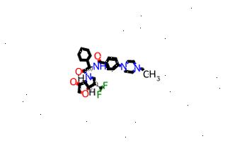 CCN1CCN(c2ccc(C(=O)N[C@H](C(=O)N3C[C@H](C(F)F)[C@H]4OCC(=O)[C@H]43)C3CCCCC3)cc2)CC1